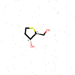 OC[C@@H]1SCC[C@H]1O